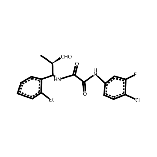 CCc1ccccc1[C@H](NC(=O)C(=O)Nc1ccc(Cl)c(F)c1)[C@@H](C)C=O